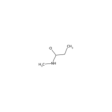 CCC([O])NC